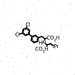 CC(C)CC(NC(Cc1cccc(-c2cc(Cl)cc(Cl)c2)c1)C(=O)O)C(=O)O